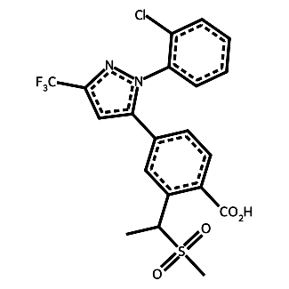 CC(c1cc(-c2cc(C(F)(F)F)nn2-c2ccccc2Cl)ccc1C(=O)O)S(C)(=O)=O